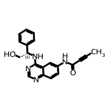 CC#CC(=O)Nc1ccc2ncnc(N[C@H](CO)c3ccccc3)c2c1